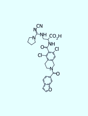 N#C/N=C(\NCC(NC(=O)c1c(Cl)cc2c(c1Cl)CCN(C(=O)c1ccc3ccoc3c1)C2)C(=O)O)N1CCCC1